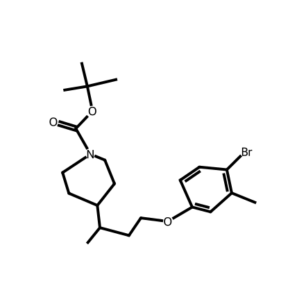 Cc1cc(OCCC(C)C2CCN(C(=O)OC(C)(C)C)CC2)ccc1Br